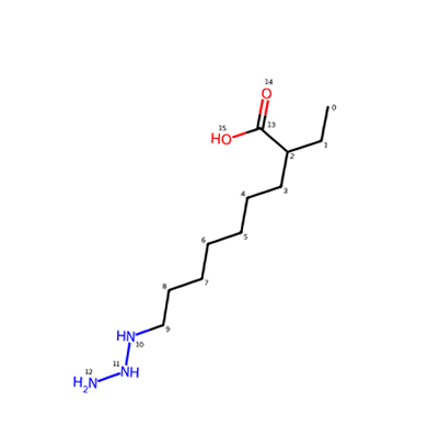 CCC(CCCCCCCNNN)C(=O)O